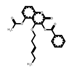 CC/C=C/CCOc1c(OC(=O)c2ccccc2)c(=O)oc2cccc(OC(C)=O)c12